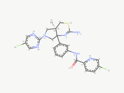 NC1=NC2(c3cccc(NC(=O)c4ccc(F)cn4)c3)CN(c3ncc(F)cn3)C[C@H]2CS1